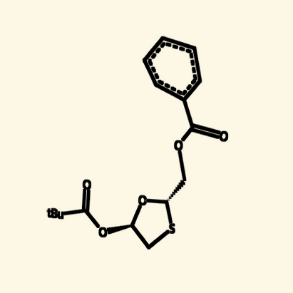 CC(C)(C)C(=O)O[C@@H]1CS[C@@H](COC(=O)c2ccccc2)O1